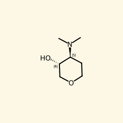 CN(C)[C@H]1CCOC[C@@H]1O